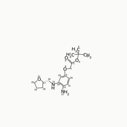 CC(C)(C)OC(=O)COc1ccc(N)c(NC[C@@H]2CCCO2)c1